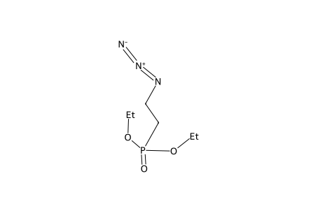 CCOP(=O)(CCN=[N+]=[N-])OCC